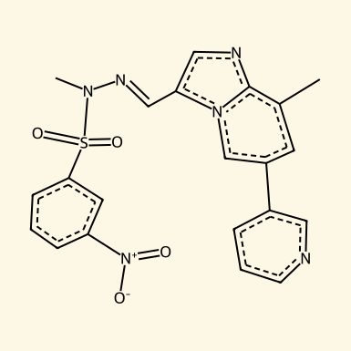 Cc1cc(-c2cccnc2)cn2c(/C=N/N(C)S(=O)(=O)c3cccc([N+](=O)[O-])c3)cnc12